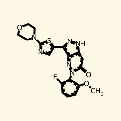 COc1cccc(F)c1-n1nc2c(-c3cnc(N4CCOCC4)s3)n[nH]c2cc1=O